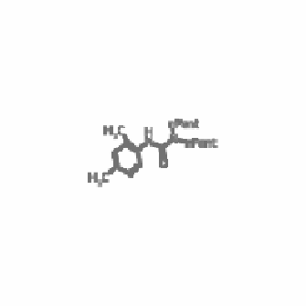 CCCCCN(CCCCC)C(=O)Nc1ccc(C)cc1C